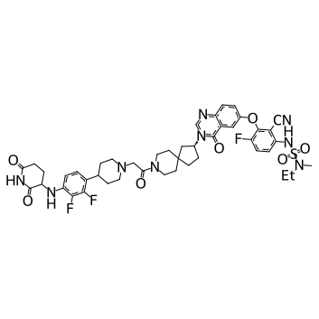 CCN(C)S(=O)(=O)Nc1ccc(F)c(Oc2ccc3ncn([C@H]4CCC5(CCN(C(=O)CN6CCC(c7ccc(NC8CCC(=O)NC8=O)c(F)c7F)CC6)CC5)C4)c(=O)c3c2)c1C#N